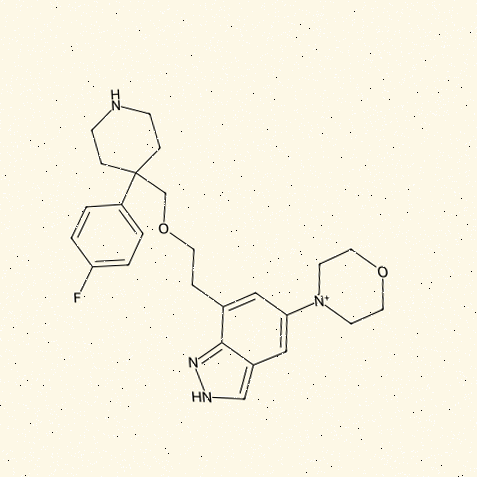 Fc1ccc(C2(COCCc3cc([N+]4CCOCC4)cc4c[nH]nc34)CCNCC2)cc1